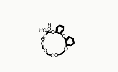 OC1(O)COCCOCCOCCOc2ccccc2Oc2ccccc2O1